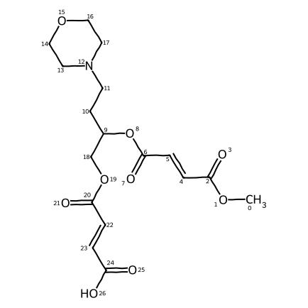 COC(=O)/C=C/C(=O)OC(CCN1CCOCC1)COC(=O)/C=C/C(=O)O